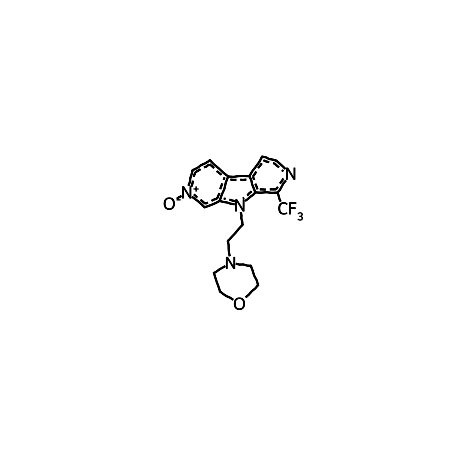 [O-][n+]1ccc2c3ccnc(C(F)(F)F)c3n(CCN3CCOCC3)c2c1